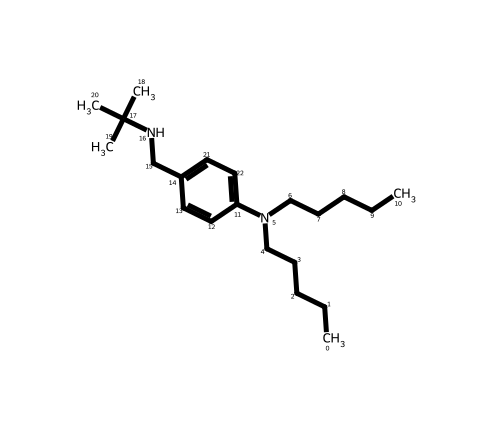 CCCCCN(CCCCC)c1ccc(CNC(C)(C)C)cc1